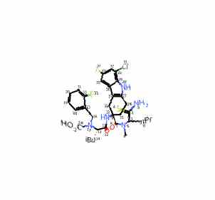 CCCC(C(N)=S)N(C)C(=O)C1(NC(=O)[C@H](C(C)CC)N(Cc2ccccc2F)C(=O)O)CCc2[nH]c3c(Cl)cc(F)cc3c2C1